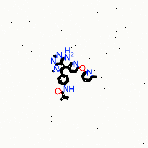 C=C(C)C(=O)Nc1ccc(-c2c(-c3ccc(Oc4cccc(C)n4)nc3)c3c(N)ncnc3n2C)cc1